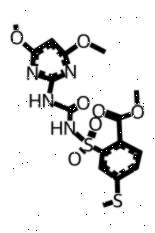 COC(=O)c1ccc(SC)cc1S(=O)(=O)NC(=O)Nc1nc(OC)cc(OC)n1